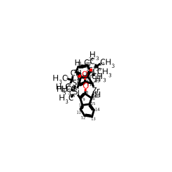 CC(C)(C)[Si](C)(C)OC1=C2c3ccccc3[C@@H]1[Zr][C@H]1C(O[Si](C)(C)C(C)(C)C)=C(c3ccccc31)[Si]2(C)C